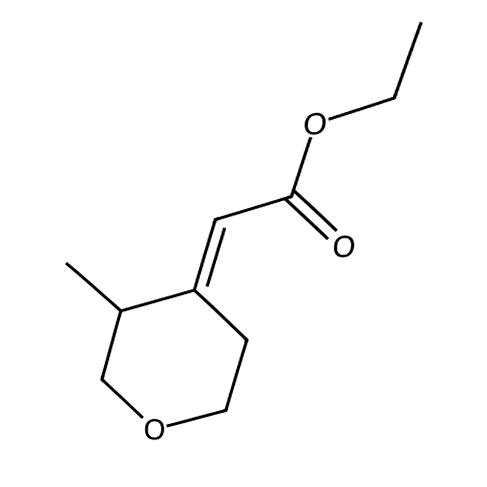 CCOC(=O)C=C1CCOCC1C